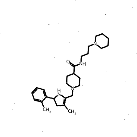 CC1=C(CN2CCC(C(=O)NCCCN3CCCCC3)CC2)NC(c2ccccc2C)C1